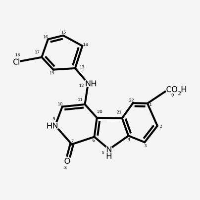 O=C(O)c1ccc2[nH]c3c(=O)[nH]cc(Nc4cccc(Cl)c4)c3c2c1